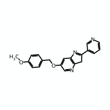 COc1ccc(COc2cnc3c(c2)N=C(c2cccnc2)C3)cc1